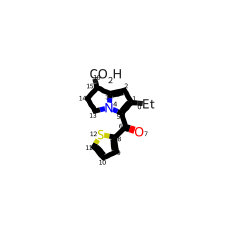 CCc1cc2n(c1C(=O)c1cccs1)CCC2C(=O)O